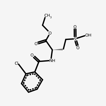 CCOC(=O)[C@H](CCS(=O)(=O)O)NC(=O)c1ccccc1Cl